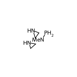 C1CN1.C1CN1.CNP